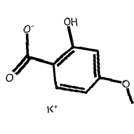 COc1ccc(C(=O)[O-])c(O)c1.[K+]